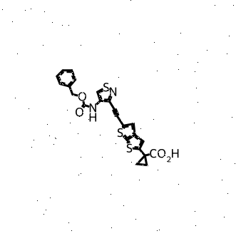 O=C(Nc1csnc1C#Cc1cc2cc(C3(C(=O)O)CC3)sc2s1)OCc1ccccc1